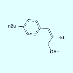 CCCCc1ccc(C=C(CC)COC(C)=O)cc1